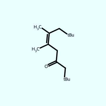 C/C(CC(=O)CC(C)(C)C)=C(\C)CC(C)(C)C